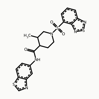 CC1CN(S(=O)(=O)c2cccc3nsnc23)CCC1C(=O)Nc1ccc2scnc2c1